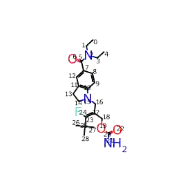 CCN(CC)C(=O)c1ccc2c(c1)CCN2CC(COC(N)=O)=C(F)C(C)(C)C